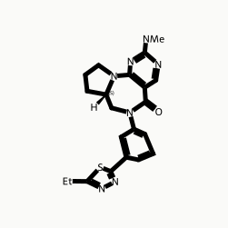 CCc1nnc(-c2cccc(N3C[C@@H]4CCCN4c4nc(NC)ncc4C3=O)c2)s1